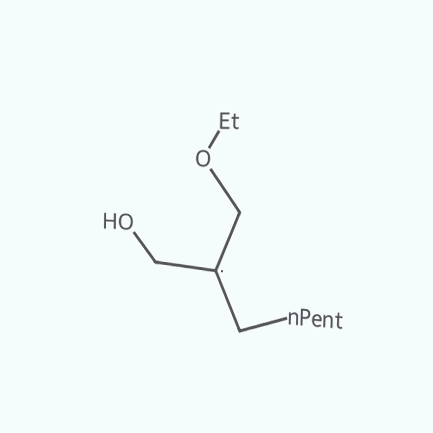 CCCCCC[C](CO)COCC